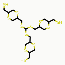 SCC1CSC(CSC(SCC2CSC(CS)CS2)SCC2CSC(CS)CS2)CS1